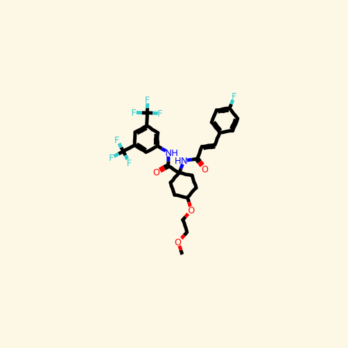 COCCOC1CCC(NC(=O)C=Cc2ccc(F)cc2)(C(=O)Nc2cc(C(F)(F)F)cc(C(F)(F)F)c2)CC1